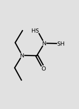 CCN(CC)C(=O)N(S)S